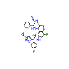 [2H]C(Nc1cc(F)c2ncc(C#N)c(NC(CC#N)c3ccccc3)c2c1)(c1ccc(F)cc1)c1cn(C2CC2)nn1